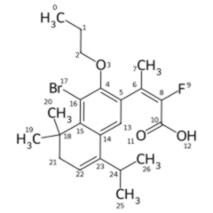 CCCOc1c(/C(C)=C(/F)C(=O)O)cc2c(c1Br)C(C)(C)CC=C2C(C)C